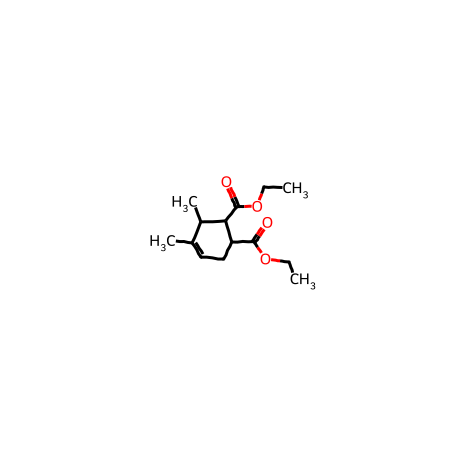 CCOC(=O)C1CC=C(C)C(C)C1C(=O)OCC